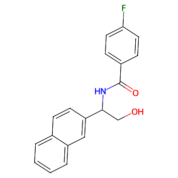 O=C(NC(CO)c1ccc2ccccc2c1)c1ccc(F)cc1